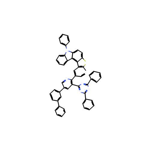 C=C/C(=C\c1c(C)sc2ccc3c(c4ccccc4n3-c3ccccc3)c12)c1ncc(-c2cccc(-c3ccccc3)c2)cc1-c1nc(-c2ccccc2)nc(-c2ccccc2)n1